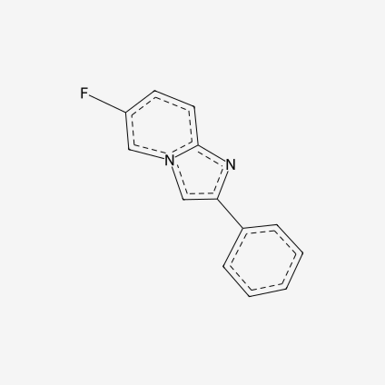 Fc1ccc2nc(-c3ccccc3)cn2c1